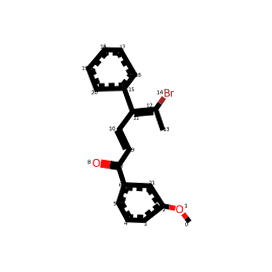 COc1cccc(C(=O)C=CC(=C(C)Br)c2ccccc2)c1